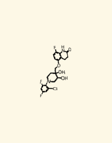 O=C1CCc2c(OCC3(O)CCN(c4c(F)cc(F)cc4Cl)CC3O)ccc(F)c2N1